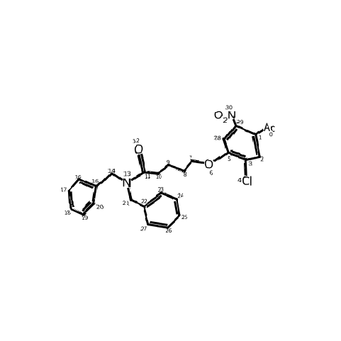 CC(=O)c1cc(Cl)c(OCCCCC(=O)N(Cc2ccccc2)Cc2ccccc2)cc1[N+](=O)[O-]